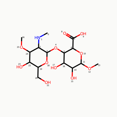 CNC1C(OC2C(C(=O)O)OC(OC)C(O)C2O)OC(CO)C(O)C1OC